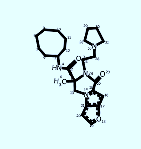 CC1(C(=O)NC2CCCCCCC2)Cn2c(cc3occc32)C(=O)N1CCN1CCCC1